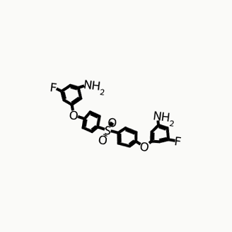 Nc1cc(F)cc(Oc2ccc(S(=O)(=O)c3ccc(Oc4cc(N)cc(F)c4)cc3)cc2)c1